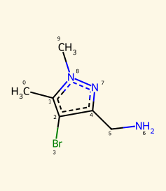 Cc1c(Br)c(CN)nn1C